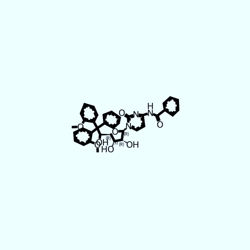 COc1ccccc1C(c1ccccc1)(c1ccccc1OC)C(O)[C@H]1O[C@@H](n2ccc(NC(=O)c3ccccc3)nc2=O)[C@H](O)[C@@H]1O